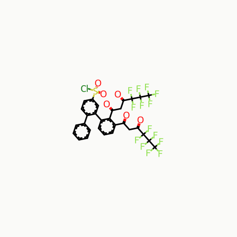 O=C(CC(=O)C(F)(F)C(F)(F)C(F)(F)F)c1cccc(-c2cc(S(=O)(=O)Cl)ccc2-c2ccccc2)c1C(=O)CC(=O)C(F)(F)C(F)(F)C(F)(F)F